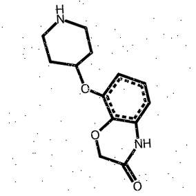 O=C1COc2c(cccc2OC2CCNCC2)N1